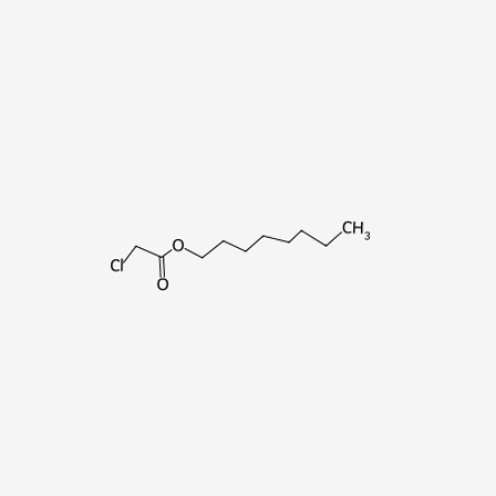 CCCCCCCCOC(=O)CCl